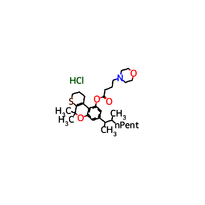 CCCCCC(C)C(C)c1cc(OC(=O)CCCN2CCOCC2)c2c(c1)OC(C)(C)C1=C2CCCS1.Cl